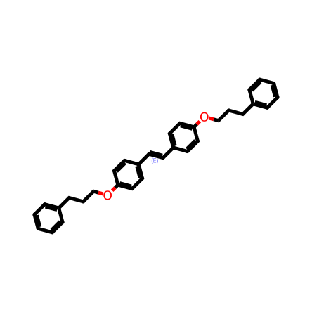 C(=C\c1ccc(OCCCc2ccccc2)cc1)/c1ccc(OCCCc2ccccc2)cc1